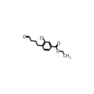 CCOC(=O)c1ccc(CCCC=O)c(Cl)c1